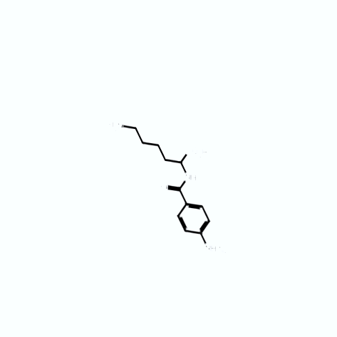 CC(=O)Nc1ccc(C(=O)NC(CCCCN)C(=O)O)cc1